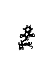 NC1(CCN2C(=O)c3ccccc3C2=O)CCC1